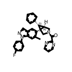 Cc1cc2c(cnn2-c2ccc(F)cc2)cc1[C@@]12CN(C(=O)c3ncccn3)C[C@@H]1[C@H]2c1ccccc1